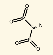 O=P(=O)[Se]P(=O)=O.[Ni]